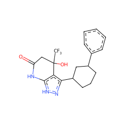 O=C1CC(O)(C(F)(F)F)c2c(C3CCCC(c4ccccc4)C3)n[nH]c2N1